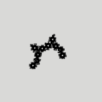 Cc1ccc(N(c2ccc(-c3ccc(N(c4ccc(C)cc4)c4ccc(-c5ccc(-c6ccccc6)s5)cc4)cc3)cc2)c2ccc(-c3ccc(-c4ccccc4)s3)cc2)cc1